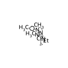 CCN(Cc1c(C(F)(F)F)nc2n1CCCN2c1c(C)cc(C)cc1C)CC1CC1